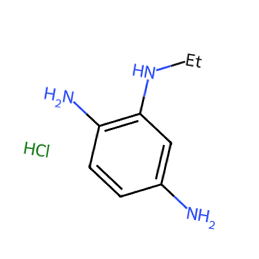 CCNc1cc(N)ccc1N.Cl